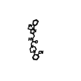 CC(C)Cc1cc(CNC(=O)CN2CCN(c3ccccc3C#N)CC2)nn1-c1ccccc1